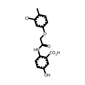 Cc1ccc(OCC(=O)Nc2ccc(O)cc2C(=O)O)cc1Cl